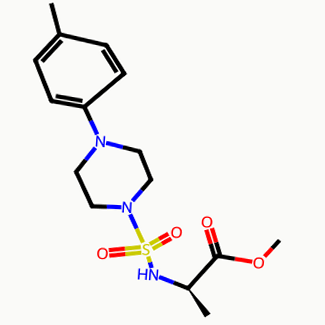 COC(=O)[C@@H](C)NS(=O)(=O)N1CCN(c2ccc(C)cc2)CC1